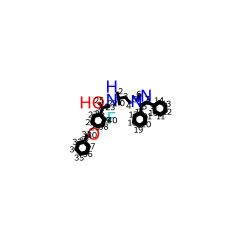 CC(C)(CCn1cnc(-c2ccccc2)c1-c1ccccc1)NCC(O)c1ccc(OCc2ccccc2)cc1F